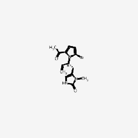 C=C[C@@H](Cc1c[nH]c(=O)n1C)n1c(Br)ccc1C(C)=O